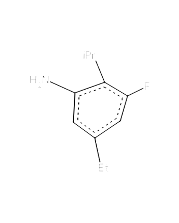 CCc1cc(N)c(C(C)C)c(F)c1